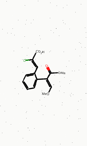 CO/C=C(/C(=O)OC)c1ccccc1/C=C(\Cl)C(=O)O